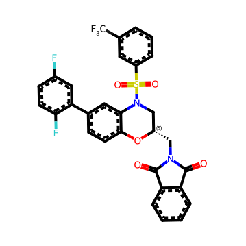 O=C1c2ccccc2C(=O)N1C[C@H]1CN(S(=O)(=O)c2cccc(C(F)(F)F)c2)c2cc(-c3cc(F)ccc3F)ccc2O1